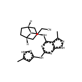 Cc1cc(Nc2nc(N[C@@H]3C[C@H]4CC[C@@H](C3)N4CCC#N)c3c(C)n[nH]c3n2)n[nH]1